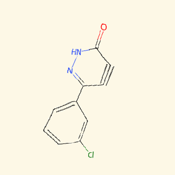 O=c1c#cc(-c2cccc(Cl)c2)n[nH]1